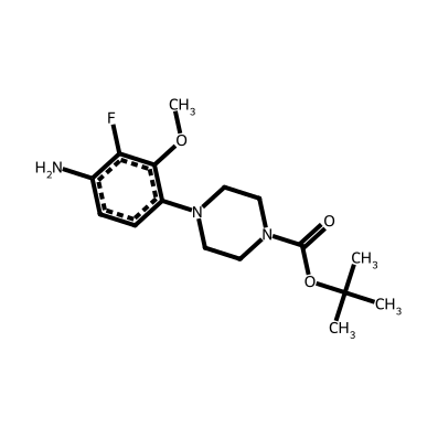 COc1c(N2CCN(C(=O)OC(C)(C)C)CC2)ccc(N)c1F